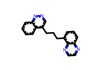 [CH](Cc1cnnc2ccccc12)Cc1cccc2nccnc12